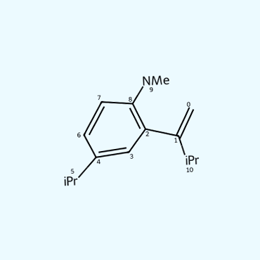 C=C(c1cc(C(C)C)ccc1NC)C(C)C